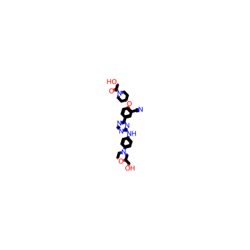 N#Cc1cc(-c2ncnc(Nc3ccc(N4CCOC(CO)C4)cc3)n2)ccc1OC1CCN(C(=O)CO)CC1